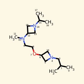 CC(C)CN1CC(OCCN(C)C2CN(C(C)C)C2)C1